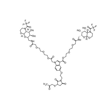 CC(=O)CSC1CC(=O)N(CCOc2ccc3c(c2)c(C(=O)OCCOCCOCC(=O)NC[C@H]2O[C@H]4OCCN(C(=O)C(F)(F)F)[C@H]4[C@@H](O)[C@H]2O)cn3CC(=O)OCCOCCOCC(=O)NCC2O[C@H]3OCCN(C(=O)C(F)(F)F)[C@H]3[C@@H](O)[C@H]2O)C1=O